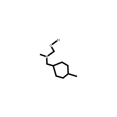 CCOCN(C)CC1CCC(C)CC1